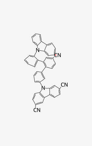 N#Cc1ccc(-c2cccc(-n3c4ccc(C#N)cc4c4ccc(C#N)cc43)c2)c(-c2ccccc2-n2c3ccccc3c3ccccc32)c1